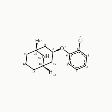 Clc1ccccc1O[C@@H]1C[C@H]2CCC[C@@H](C1)N2